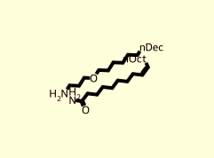 CCCCCCCC/C=C\CCCCCCCC(N)=O.CCCCCCCCCCCCCCCCOCCCN